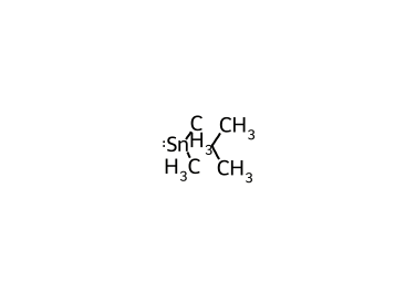 CCC.[CH3][Sn][CH3]